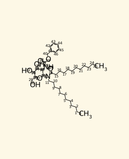 CCCCCCCCCCCCN(C(=O)CCCCCCCCCCC)[C@@H]1O[C@H](CO)[C@H](O)[C@H](O)[C@H]1NC(=O)OCc1ccccc1